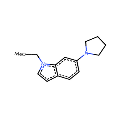 COCn1ccc2ccc(N3CCCC3)cc21